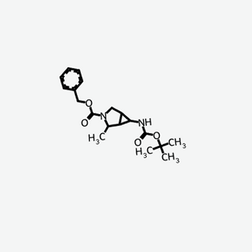 CC1C2C(CN1C(=O)OCc1ccccc1)C2NC(=O)OC(C)(C)C